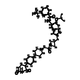 CC(C)Oc1cc2nc(CC3CN(C(=O)CN4CCC(c5ccc(C6CCC(=O)NC6=O)cc5)CC4)C3)cn2cc1NC(=O)c1cccc(C(F)(F)F)n1